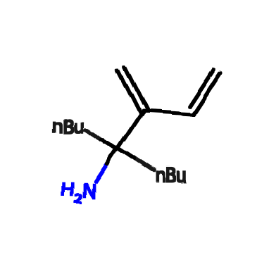 C=CC(=C)C(N)(CCCC)CCCC